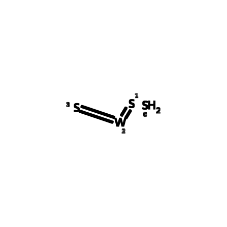 S.[S]=[W]=[S]